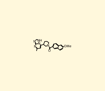 COc1ccc2cc(C(=O)N3CCCC(C4=CC(C)=NC5=NCNN45)C3)ccc2c1